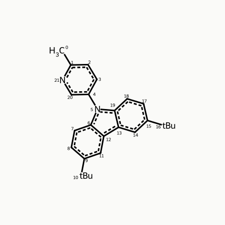 Cc1ccc(-n2c3ccc(C(C)(C)C)cc3c3cc(C(C)(C)C)ccc32)cn1